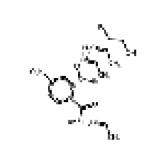 C=CC.C=CC.C=CC.CCOCC.COC(=O)c1ccc([N+](=O)[O-])cc1.OCCO